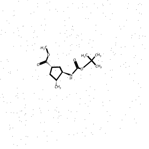 COC(=O)[C@H]1C[C@@H](C)[C@H](NC(=O)OC(C)(C)C)C1